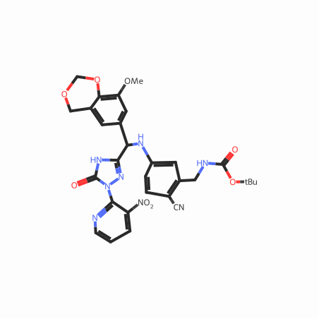 COc1cc(C(Nc2ccc(C#N)c(CNC(=O)OC(C)(C)C)c2)c2nn(-c3ncccc3[N+](=O)[O-])c(=O)[nH]2)cc2c1OCOC2